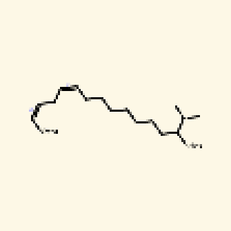 CCCCC/C=C\C/C=C\CCCCCCCC(CCCCCC)N(C)C